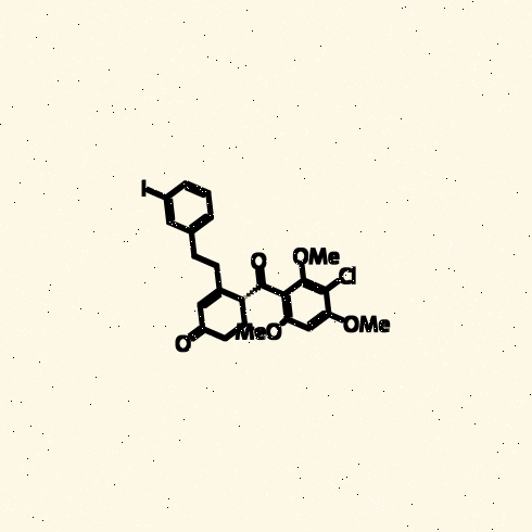 COc1cc(OC)c(C(=O)[C@H]2C(CCc3cccc(I)c3)=CC(=O)C[C@H]2C)c(OC)c1Cl